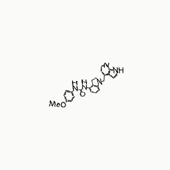 COc1ccc(NC(=O)Nc2cccc3c2CCN3Cc2ccnc3[nH]ccc23)cc1